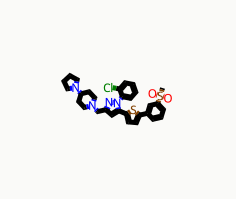 CS(=O)(=O)c1cccc(-c2ccc(-c3cc(CN4CCC(N5CCCC5)CC4)nn3-c3ccccc3Cl)s2)c1